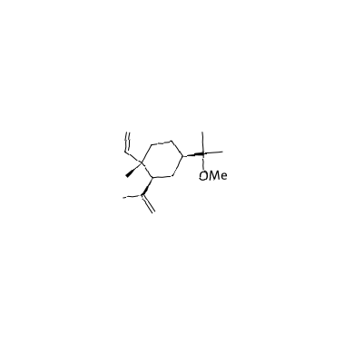 C=C[C@]1(C)CC[C@@H](C(C)(C)OC)C[C@H]1C(=C)C